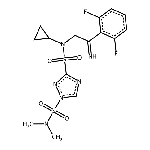 CN(C)S(=O)(=O)n1cnc(S(=O)(=O)N(CC(=N)c2c(F)cccc2F)C2CC2)n1